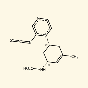 CC1=C[C@H](NC(=O)O)C[C@H](c2ccncc2N=C=S)C1